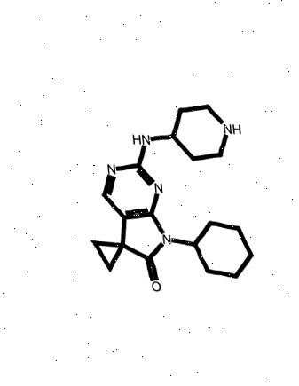 O=C1N(C2CCCCC2)c2nc(NC3CCNCC3)ncc2C12CC2